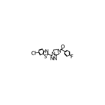 O=C(c1ccc(F)cc1)N1CCn2c(nnc2-c2nc3ccc(Cl)cc3s2)C1